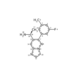 Cc1cc(F)cc(-c2nn3ccnc3cc2[C@H](C)N)c1